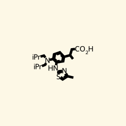 Cc1csc(Nc2cc(C(C)CC(=O)O)ccc2N(CC(C)C)CC(C)C)n1